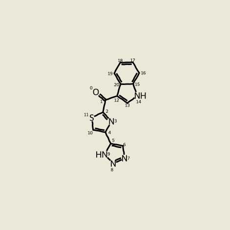 O=C(c1nc(-c2cnn[nH]2)cs1)c1c[nH]c2ccccc12